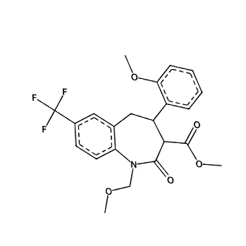 COCN1C(=O)C(C(=O)OC)C(c2ccccc2OC)Cc2cc(C(F)(F)F)ccc21